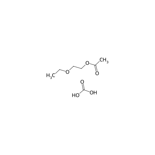 CCOCCOC(C)=O.O=C(O)O